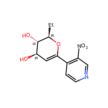 CC[C@H]1OC(c2ccncc2[N+](=O)[O-])=C[C@@H](O)[C@@H]1O